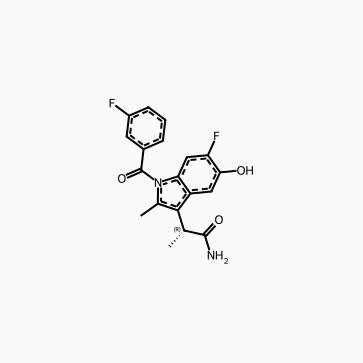 Cc1c([C@@H](C)C(N)=O)c2cc(O)c(F)cc2n1C(=O)c1cccc(F)c1